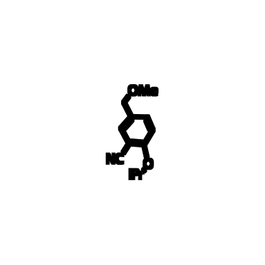 COCc1ccc(OC(C)C)c(C#N)c1